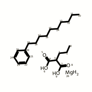 CCCC(C(=O)O)C(=O)O.CCCCCCCCCCc1ccccc1.[MgH2]